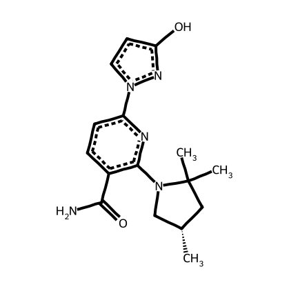 C[C@@H]1CN(c2nc(-n3ccc(O)n3)ccc2C(N)=O)C(C)(C)C1